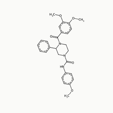 COc1ccc(NC(=O)N2CCN(C(=O)c3ccc(OC)c(OC)c3)C(c3ccccc3)C2)cc1